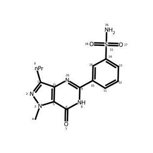 CCCc1nn(C)c2c(=O)[nH]c(-c3cccc(S(N)(=O)=O)c3)nc12